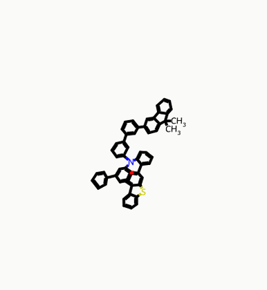 CC1(C)c2ccccc2-c2cc(-c3cccc(-c4cccc(N(c5cccc(-c6ccccc6)c5)c5ccccc5-c5ccc6c(c5)sc5ccccc56)c4)c3)ccc21